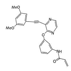 C=CC(=O)Nc1cccc(Oc2nccnc2C#Cc2cc(OC)cc(OC)c2)c1